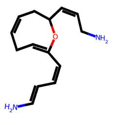 N/C=C/C=C\C1=C/C/C=C\CC(/C=C\CN)O1